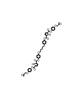 O=C(Oc1ccc(CCCCCOc2ccc(OC(=O)c3ccc(C(=O)Oc4ccc(OCC5CO5)cc4)[pH]3)cc2)cc1)c1ccc(C(=O)Oc2ccc(OCC3CO3)cc2)[pH]1